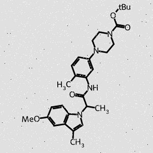 COc1ccc2c(c1)c(C)cn2C(C)C(=O)Nc1cc(N2CCN(C(=O)OC(C)(C)C)CC2)ccc1C